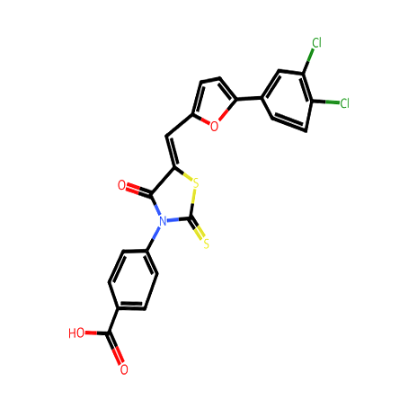 O=C(O)c1ccc(N2C(=O)C(=Cc3ccc(-c4ccc(Cl)c(Cl)c4)o3)SC2=S)cc1